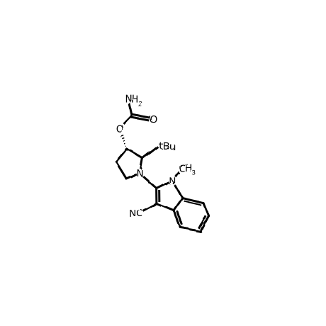 Cn1c(N2CC[C@H](OC(N)=O)C2C(C)(C)C)c(C#N)c2ccccc21